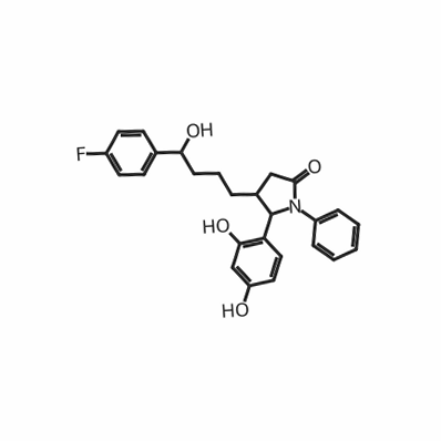 O=C1CC(CCCC(O)c2ccc(F)cc2)C(c2ccc(O)cc2O)N1c1ccccc1